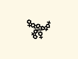 CC(C)(C)c1ccc(Nc2cc3c(cc2-c2ccc4c5cc6c(cc5n5c4c2Bc2cc4c(cc2-5)C(C)(C)c2ccccc2-4)C(C)(C)c2ccccc2-6)-c2cc(C(C)(C)C)ccc2C3(C)C)cc1